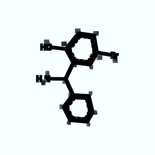 NC(c1ccccc1)c1cc(Br)ccc1O